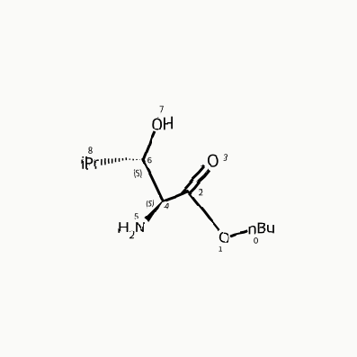 CCCCOC(=O)[C@@H](N)[C@@H](O)C(C)C